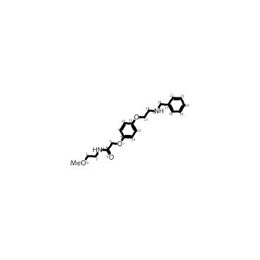 COCCNC(=O)COc1ccc(OCCNCc2ccccc2)cc1